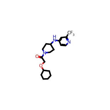 O=C(COC1CCCCC1)N1CCC(Nc2ccnc(C(F)(F)F)c2)CC1